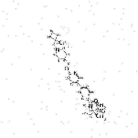 CC1(CN2CCC(COc3ccc(-c4ccc(C(=O)N5CCC[C@@]5(C)C(N)=O)cc4)cn3)CC2)CCC1